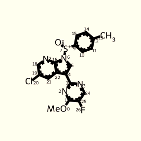 COc1nc(-c2cn([S+]([O-])c3ccc(C)cc3)c3ncc(Cl)cc23)ncc1F